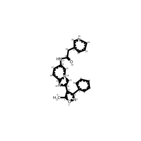 Cc1onc(-c2ccccc2)c1-c1cn2cc(NC(=O)Cc3cccnc3)ccc2n1